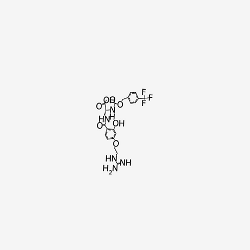 N=C(N)NCCOc1ccc(C(=O)NC[C@H](NC(=O)OCc2ccc(C(F)(F)F)cc2)C(=O)O)c(O)c1